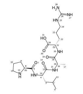 CC(C)C[C@H](NC(=O)[C@@H]1CCCN1)C(=O)N[C@@H](C)C(=O)N[C@@H](CCCNC(=N)N)C(=O)O